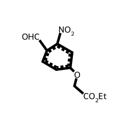 CCOC(=O)COc1ccc(C=O)c([N+](=O)[O-])c1